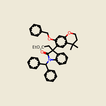 CCOC(=O)CC1(c2cc3c(cc2OCc2ccccc2)OCCC3(C)C)C(=O)N(C(c2ccccc2)c2ccccc2)c2ccccc21